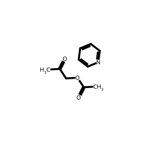 CC(=O)COC(C)=O.c1ccncc1